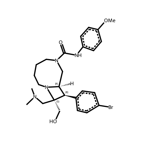 COc1ccc(NC(=O)N2CCCCN3[C@@H](C2)[C@@H](c2ccc(Br)cc2)[C@@]3(CO)CN(C)C)cc1